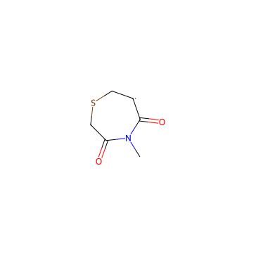 CN1C(=O)[CH]CSCC1=O